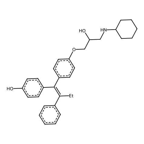 CCC(=C(c1ccc(O)cc1)c1ccc(OCC(O)CNC2CCCCC2)cc1)c1ccccc1